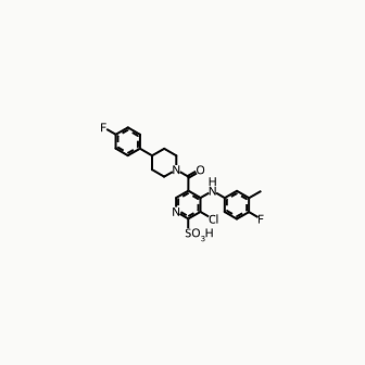 Cc1cc(Nc2c(C(=O)N3CCC(c4ccc(F)cc4)CC3)cnc(S(=O)(=O)O)c2Cl)ccc1F